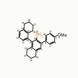 COc1ccc(-c2cc3c(c(-c4cccc5c4CCCC5)c2P)CCCC3)cc1